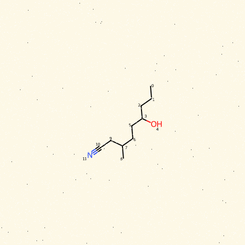 CCCC(O)CCC(C)CC#N